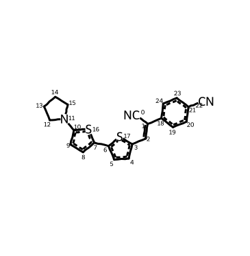 N#C/C(=C\c1ccc(-c2ccc(N3CCCC3)s2)s1)c1ccc(C#N)cc1